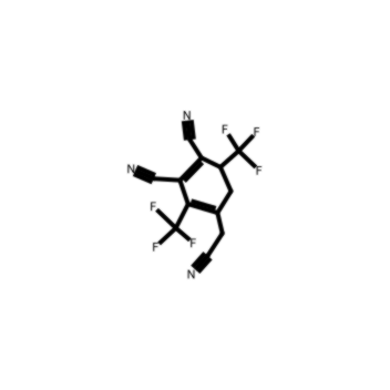 N#CCC1=C(C(F)(F)F)C(C#N)=C(C#N)C(C(F)(F)F)C1